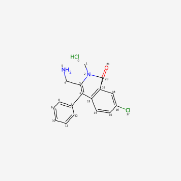 Cl.Cn1c(CN)c(-c2ccccc2)c2ccc(Cl)cc2c1=O